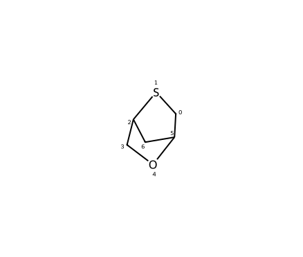 C1SC2COC1C2